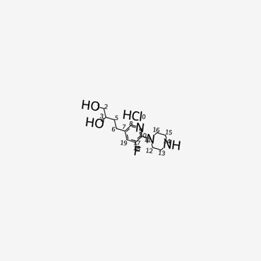 Cl.OCC(O)CCc1cnc(N2CCNCC2)c(F)c1